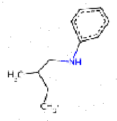 [CH2]CC(C)CNc1ccccc1